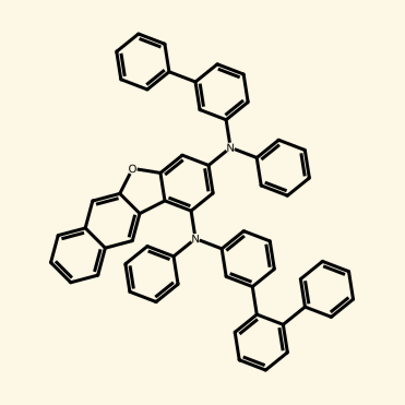 c1ccc(-c2cccc(N(c3ccccc3)c3cc(N(c4ccccc4)c4cccc(-c5ccccc5-c5ccccc5)c4)c4c(c3)oc3cc5ccccc5cc34)c2)cc1